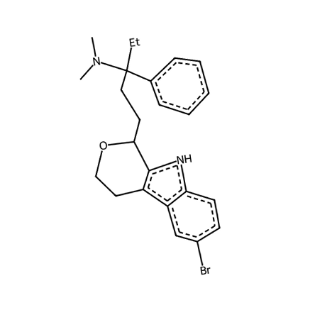 CCC(CCC1OCCc2c1[nH]c1ccc(Br)cc21)(c1ccccc1)N(C)C